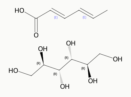 C/C=C/C=C/C(=O)O.OC[C@@H](O)[C@@H](O)[C@H](O)[C@H](O)CO